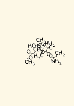 C=C(C)C(=O)O.C=C(C)C(=O)OC.C=CC(=O)OCC.C=CC(N)=O